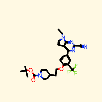 CCn1ccc2c(-c3ccc(OCCC4CCN(C(=O)OC(C)(C)C)CC4)c(C(F)(F)F)c3)nc(C#N)nc21